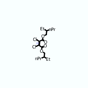 CCCC(CC)COC(=O)/C(Cl)=C(/Cl)C(=O)OCC(CC)CCC